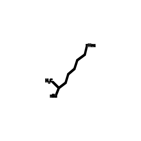 [CH2]CCCCCCCCCCC(C)CCCC